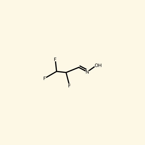 ON=CC(F)C(F)F